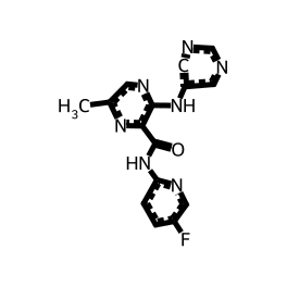 Cc1cnc(Nc2cncnc2)c(C(=O)Nc2ccc(F)cn2)n1